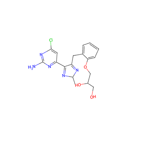 CC1N=C(Cc2ccccc2OCC(O)CO)C(c2cc(Cl)nc(N)n2)=N1